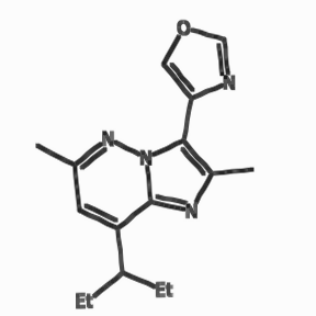 CCC(CC)c1cc(C)nn2c(-c3cocn3)c(C)nc12